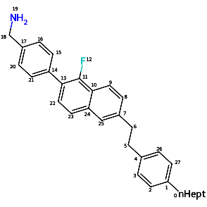 CCCCCCCc1ccc(CCc2ccc3c(F)c(-c4ccc(CN)cc4)ccc3c2)cc1